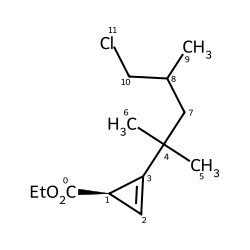 CCOC(=O)[C@@H]1C=C1C(C)(C)CC(C)CCl